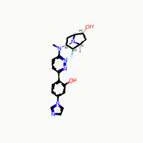 CN(c1ccc(-c2ccc(-n3ccnc3)cc2O)nn1)[C@@H]1CC2[C@H](O)C[C@@](C)([C@H]1F)N2C